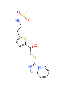 CS(=O)(=O)NCCc1ccc(C(=O)CSc2ncc3ccccn23)s1